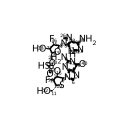 Nc1nc2c(ncn2[C@@H]2S[C@H](CO)[C@@H](F)[C@H]2OP(=O)(S)OC[C@H]2O[C@@H](n3cnc4c(N)ncnc43)[C@@H](F)[C@@H]2O)c(=O)[nH]1